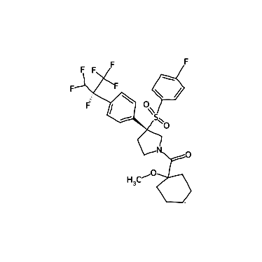 COC1(C(=O)N2CC[C@](c3ccc([C@@](F)(C(F)F)C(F)(F)F)cc3)(S(=O)(=O)c3ccc(F)cc3)C2)CC[CH]CC1